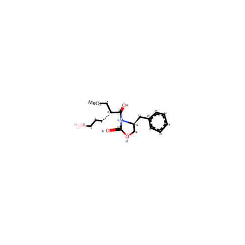 BCCC[C@H](COC)C(=O)N1C(=O)OC[C@@H]1Cc1ccccc1